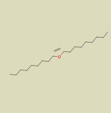 C=C.CCCCCCCCCOCCCCCCCCC